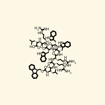 CC(C)C[C@H](NC(=O)[C@H](CCCNC(=N)N)NC(=O)[C@H](Cc1c[nH]c2ccccc12)NC(=O)[C@H](Cc1c[nH]c2ccccc12)NC(=O)[C@H](Cc1c[nH]c2ccccc12)NC(=O)[C@H](CCCNC(=N)N)NC(=O)[C@H](CCCNC(=N)N)NC(=O)[C@H](CC(C)C)NC(=O)OCC1c2ccccc2-c2ccccc21)C(=O)O